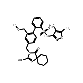 CCCCC1=NC2(CCCCC2)C(=O)N1Cc1ccc(-c2ccccc2S(=O)(=O)Nc2noc(C)c2C)c(COCC)c1